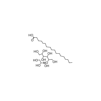 CCCCCCCCCCCCCCCCCC(=O)O.OCC(O)C(O)C(O)C(O)CO.OCC(O)CO